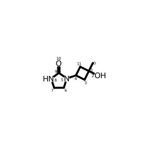 CC1(O)CC(N2CCNC2=O)C1